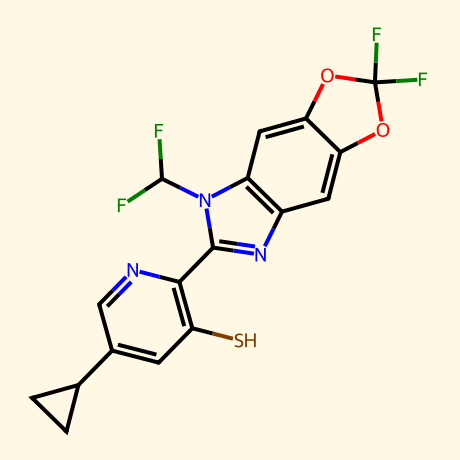 FC(F)n1c(-c2ncc(C3CC3)cc2S)nc2cc3c(cc21)OC(F)(F)O3